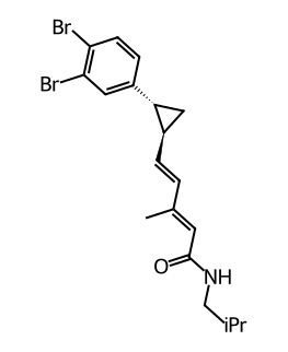 CC(/C=C/[C@@H]1C[C@H]1c1ccc(Br)c(Br)c1)=C\C(=O)NCC(C)C